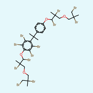 CC(Br)(CBr)COCC(C)(Br)C(Br)Oc1ccc(C(C)(C)c2c(Br)c(Br)c(OC(Br)C(C)(Br)COCC(C)(Br)CBr)c(Br)c2Br)cc1